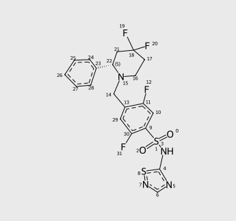 O=S(=O)(Nc1ncns1)c1cc(F)c(CN2CCC(F)(F)C[C@H]2c2ccccc2)cc1F